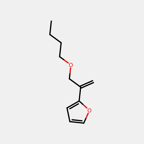 C=C(COCCCC)c1ccco1